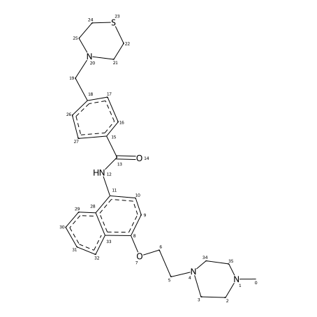 CN1CCN(CCOc2ccc(NC(=O)c3ccc(CN4CCSCC4)cc3)c3ccccc23)CC1